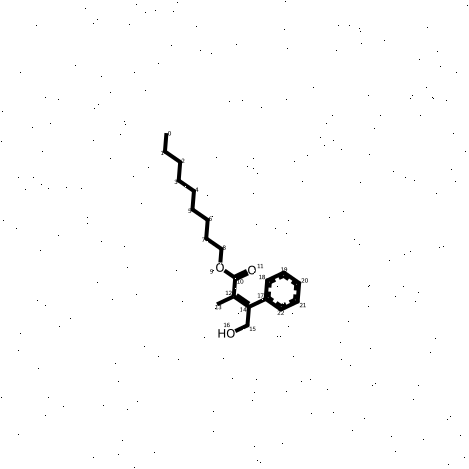 CCCCCCCCCOC(=O)C(C)=C(CO)c1ccccc1